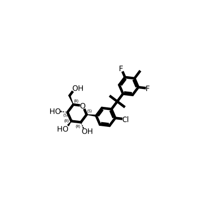 Cc1c(F)cc(C(C)(C)c2cc([C@@H]3O[C@H](CO)[C@@H](O)[C@H](O)[C@H]3O)ccc2Cl)cc1F